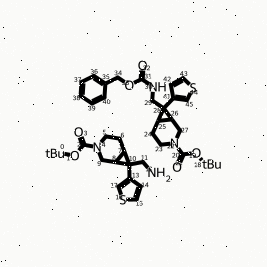 CC(C)(C)OC(=O)N1CCC2C(C1)C2(CN)c1ccsc1.CC(C)(C)OC(=O)N1CCC2C(C1)C2(CNC(=O)OCc1ccccc1)c1ccsc1